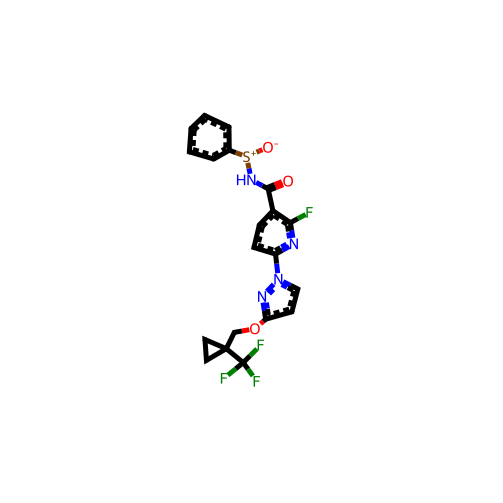 O=C(N[S+]([O-])c1ccccc1)c1ccc(-n2ccc(OCC3(C(F)(F)F)CC3)n2)nc1F